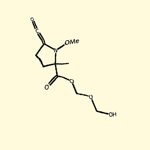 CON1C(=C=O)CCC1(C)C(=O)OCOCO